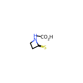 CC(=O)O.S=C1CCN1